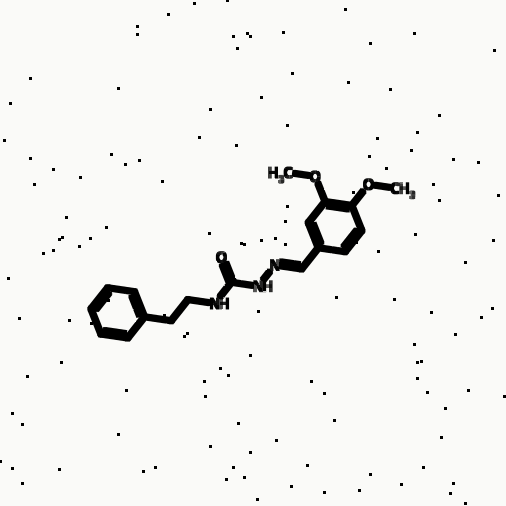 COc1ccc(C=NNC(=O)NCCc2ccccc2)cc1OC